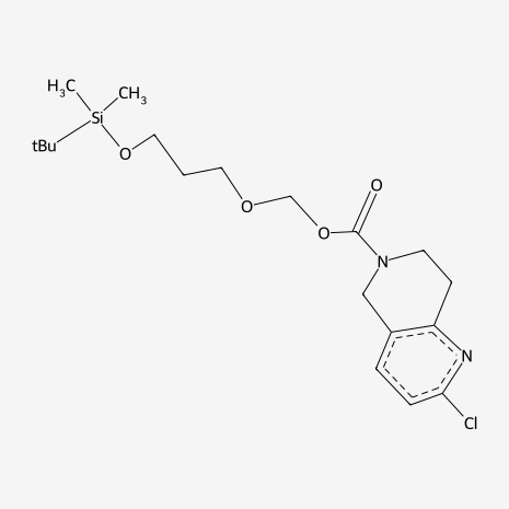 CC(C)(C)[Si](C)(C)OCCCOCOC(=O)N1CCc2nc(Cl)ccc2C1